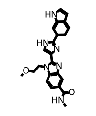 CNC(=O)c1ccc2c(c1)nc(-c1c[nH]c(C3C=c4[nH]ccc4=CC3)n1)n2CCOC